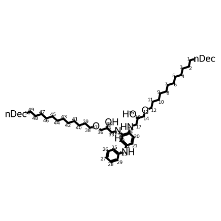 CCCCCCCCCCCCCCCCCCCCCCOCC(O)CNc1ccc(Nc2ccccc2)cc1NCC(O)COCCCCCCCCCCCCCCCCCCCCCC